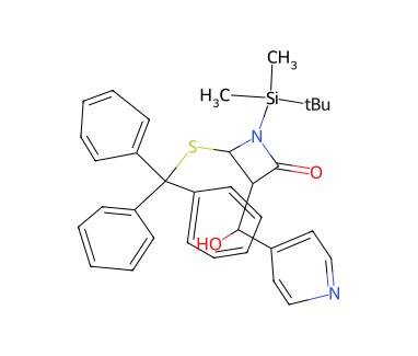 CC(C)(C)[Si](C)(C)N1C(=O)C(C(O)c2ccncc2)C1SC(c1ccccc1)(c1ccccc1)c1ccccc1